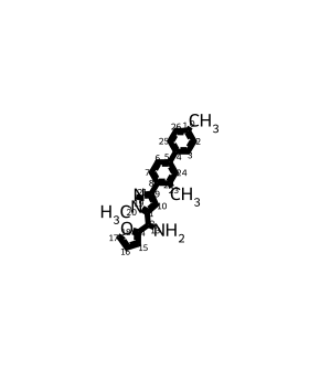 Cc1ccc(-c2ccc(-c3cc(C(N)c4ccco4)n(C)n3)c(C)c2)cc1